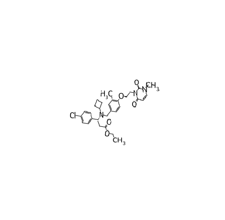 CCOC(=O)CC(c1ccc(Cl)cc1)N(Cc1ccc(OCCn2c(=O)ccn(C)c2=O)c(C)c1)C1CCC1